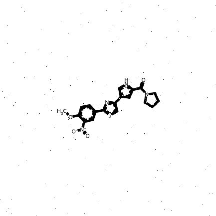 COc1ccc(-c2nc(-c3c[nH]c(C(=O)N4CCCC4)c3)cs2)cc1[N+](=O)[O-]